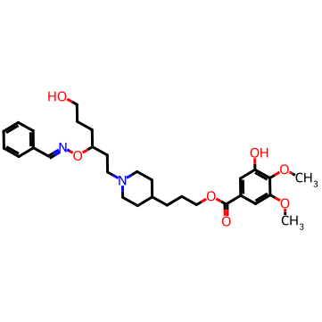 COc1cc(C(=O)OCCCC2CCN(CCC(CCCO)O/N=C/c3ccccc3)CC2)cc(O)c1OC